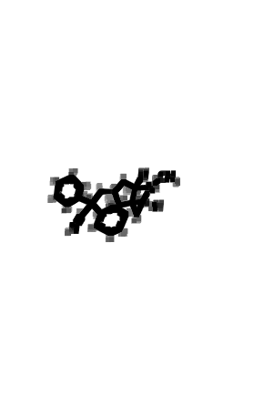 CN1[C@H]2C[C@H](CC(C#N)(c3ccccc3)c3ccccc3)CC23C[C@H]13